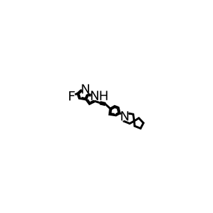 Fc1cnc2[nH]c(C#Cc3ccc(N4CCC5(CCCC5)CC4)cc3)cc2c1